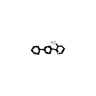 CC1CC=CN=C1c1ccc(-c2ccccc2)cc1